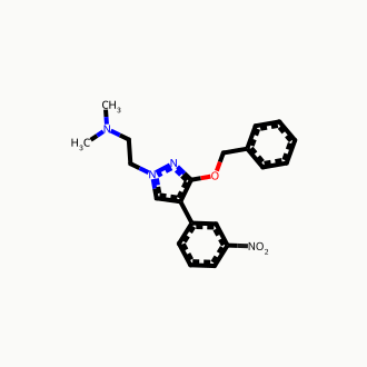 CN(C)CCn1cc(-c2cccc([N+](=O)[O-])c2)c(OCc2ccccc2)n1